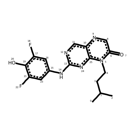 CC(C)CCn1c(=O)cnc2cnc(Nc3cc(F)c(O)c(F)c3)nc21